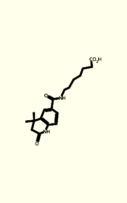 CC1(C)CC(=O)Nc2ccc(C(=O)NCCCCCCC(=O)O)cc21